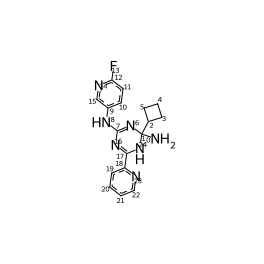 NC1(C2CCC2)N=C(Nc2ccc(F)nc2)N=C(c2ccccn2)N1